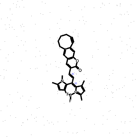 CC1=CC(C)=[N+](B(F)F)/C1=C(/C=C/c1cc2cc3c(cc2oc1=O)C#CCCCC3)c1c(C)cc(C)n1C